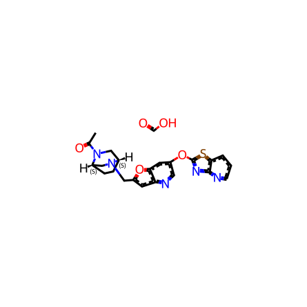 CC(=O)N1C[C@@H]2CC[C@H]1CN2Cc1cc2ncc(Oc3nc4ncccc4s3)cc2o1.O=CO